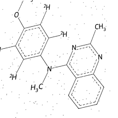 [2H]c1c([2H])c(N(C)c2nc(C)nc3ccccc23)c([2H])c([2H])c1OC